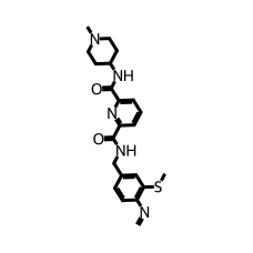 C=Nc1ccc(CNC(=O)c2cccc(C(=O)NC3CCN(C)CC3)n2)cc1SC